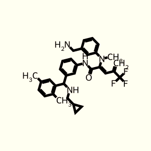 C=C(/C=C(/C(=O)Nc1cccc(C(NCC2CC2)c2cc(C)ccc2C)c1)N(C)c1cccc(CN)c1)C(F)(F)F